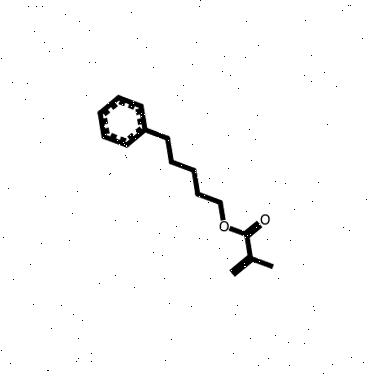 C=C(C)C(=O)OCCCCCc1ccccc1